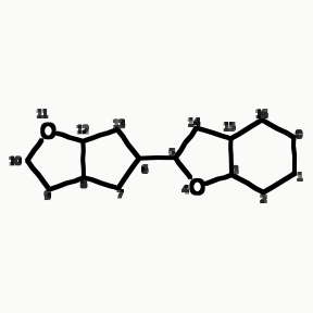 C1CCC2OC(C3CC4CCOC4C3)CC2C1